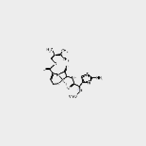 CO/N=C(\C(=O)NC1C(=O)N2C(C(=O)OCC(C)=C(C)C)=CCS[C@H]12)c1csc(N)n1